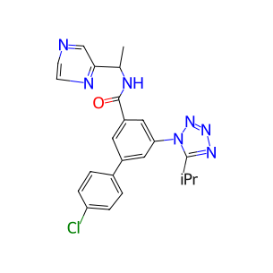 CC(C)c1nnnn1-c1cc(C(=O)NC(C)c2cnccn2)cc(-c2ccc(Cl)cc2)c1